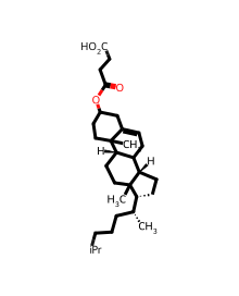 CC(C)CCC[C@@H](C)[C@H]1CC[C@H]2C3CC=C4CC(OC(=O)CCC(=O)O)CCC4(C)[C@H]3CCC12C